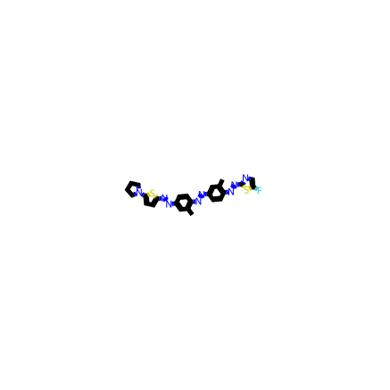 Cc1cc(/N=N/c2ccc(N3CCCC3)s2)ccc1/N=N/c1ccc(/N=N/c2ncc(F)s2)c(C)c1